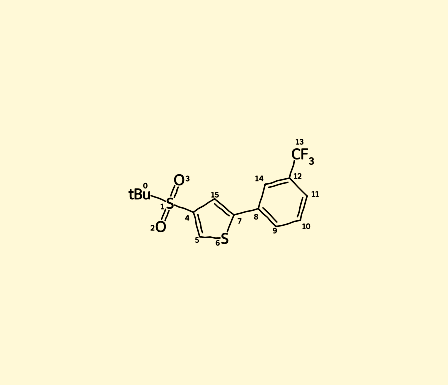 CC(C)(C)S(=O)(=O)c1csc(-c2cccc(C(F)(F)F)c2)c1